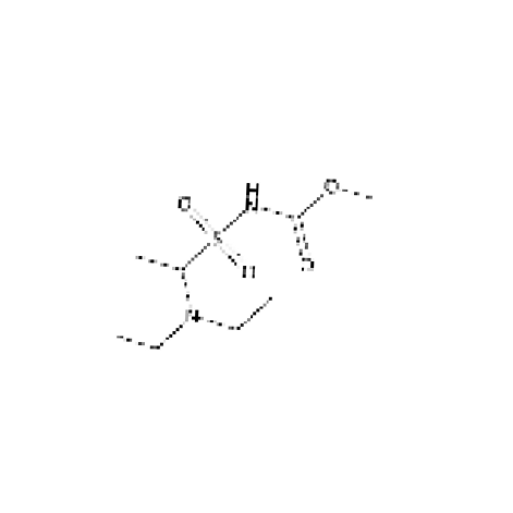 CCN(CC)C(C)S(=O)(=O)NC(=O)OC